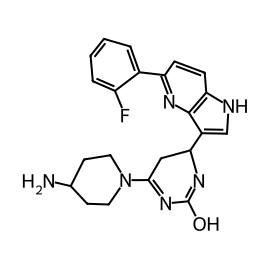 NC1CCN(C2=NC(O)=NC(c3c[nH]c4ccc(-c5ccccc5F)nc34)C2)CC1